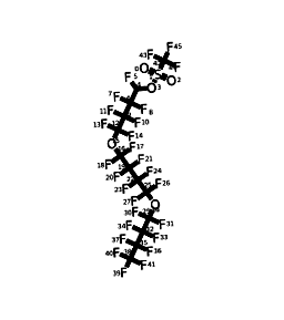 O=S(=O)(OC(F)C(F)(F)C(F)(F)C(F)(F)OC(F)(F)C(F)(F)C(F)(F)C(F)(F)OC(F)(F)C(F)(F)C(F)(F)C(F)(F)F)C(F)(F)F